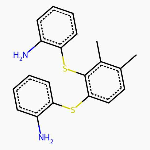 Cc1ccc(Sc2ccccc2N)c(Sc2ccccc2N)c1C